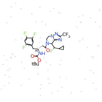 CC(C)(C)OC(=O)N[C@@H](CC(=O)N1CCn2nc(C(F)(F)F)nc2C1C(F)C1CC1)Cc1cc(F)c(F)cc1F